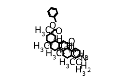 CC1(C)C2CC[C@]3(C)[C@H](C(=O)C=C4[C@@H]5C[C@@](C)(C(=O)OCc6ccccc6)CC[C@]5(C)CC[C@]43C)[C@@]2(C)CC[C@@H]1N